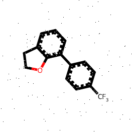 FC(F)(F)c1ccc(-c2cccc3c2O[C]C3)cc1